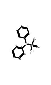 S=P(S)(S)N(c1ccccc1)c1ccccc1